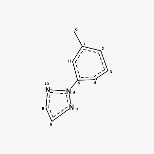 Cc1cc[c]c(-n2nccn2)c1